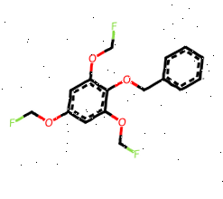 FCOc1cc(OCF)c(OCc2c[c]ccc2)c(OCF)c1